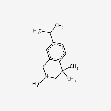 CC(C)c1ccc2c(c1)CN(C)CC2(C)C